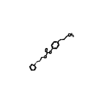 CCCCc1ccc(OC(=O)OCCCc2ccccc2)cc1